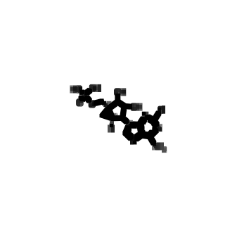 Nc1nc(Cl)nc2c1ncn2C1C(O)C(O)[C@]2(COP(=O)(O)O)C[C@H]12